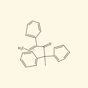 C/C=C(/C(=O)C(I)(c1ccccc1)c1ccccc1)c1ccccc1